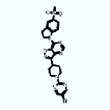 CS(=O)(=O)c1ccc2c(c1)CCN2c1ncnc2c(C3CCN(c4ncc(Br)cn4)CC3)noc12